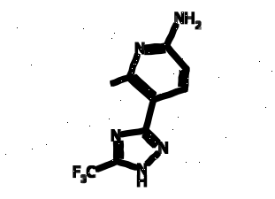 Cc1nc(N)ccc1-c1n[nH]c(C(F)(F)F)n1